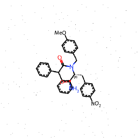 COc1ccc(CN(C(=O)C(c2ccccc2)c2ccccc2)[C@H](Cc2ccc([N+](=O)[O-])cc2)C(N)=O)cc1